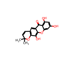 CC1(C)C=Cc2cc3c(=O)c4c(O)cc(O)cc4oc3c(O)c2O1